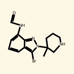 CC1(n2nc3c(NC=O)cccc3c2Br)CCCNC1